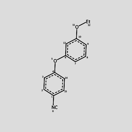 [C-]#[N+]c1ccc(Oc2cccc(OCC)c2)cc1